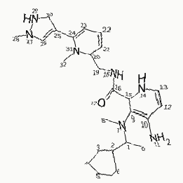 CC(C1CCCC1)N(C)C1=C(N)C=CNC1C(=O)NCC1C=CC=C(C2=CN(C)NC2)N1C